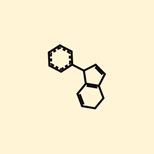 C1=CC2=C(C=CC2c2ccccc2)CC1